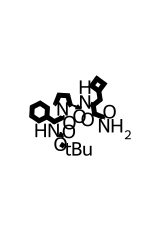 CC(C)(C)OC(=O)N[C@H](C(=O)N1CCC[C@H]1C(=O)NC(CC1CCC1)C(=O)C(N)=O)C1CCCCC1